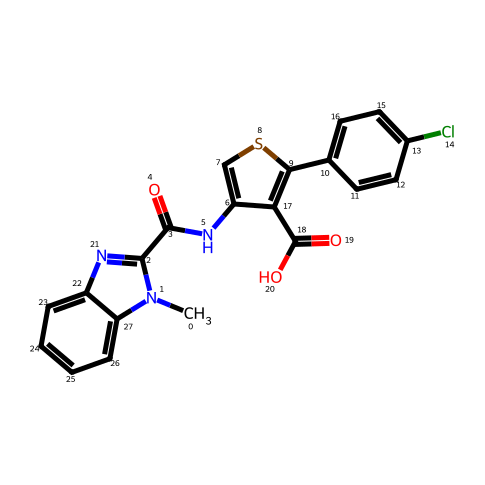 Cn1c(C(=O)Nc2csc(-c3ccc(Cl)cc3)c2C(=O)O)nc2ccccc21